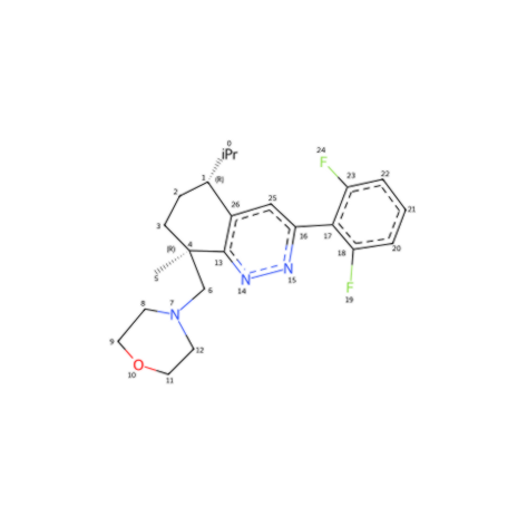 CC(C)[C@H]1CC[C@](C)(CN2CCOCC2)c2nnc(-c3c(F)cccc3F)cc21